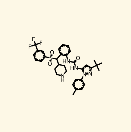 Cc1ccc(-n2nc(C(C)(C)C)cc2NC(=O)Nc2ccccc2C(C2CCNCC2)S(=O)(=O)c2cccc(C(F)(F)F)c2)cc1